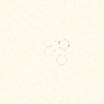 CC1CC(c2ccccc2)(c2ccccc2)C(N)=N1